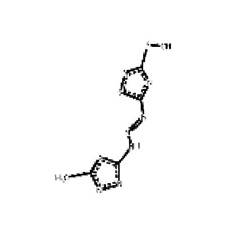 CSc1nsc(N=NNc2nnc(C)s2)n1